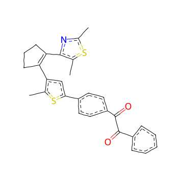 Cc1nc(C2=C(c3cc(-c4ccc(C(=O)C(=O)c5ccccc5)cc4)sc3C)CCC2)c(C)s1